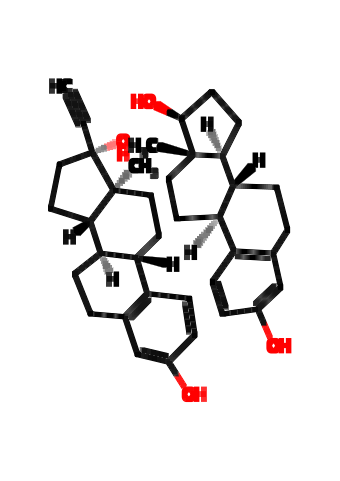 C#C[C@]1(O)CC[C@H]2[C@@H]3CCc4cc(O)ccc4[C@H]3CC[C@@]21C.C[C@]12CC[C@@H]3c4ccc(O)cc4CC[C@H]3[C@@H]1CC[C@@H]2O